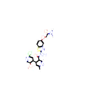 COc1cnc(Cl)cc1-c1cc(C)ncc1C(=O)Nc1nc2cc(OCC(=O)N(C)C)ccc2s1